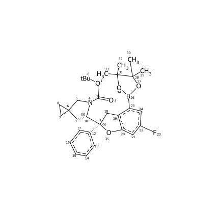 CC(C)(C)OC(=O)N1CC2(CC2)C[C@H]1[C@@]1(c2ccccc2)Cc2c(cc(F)cc2B2OC(C)(C)C(C)(C)O2)O1